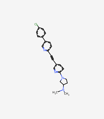 CN(C)C1CCN(c2ccc(C#Cc3ccc(-c4ccc(Cl)cc4)cn3)cn2)C1